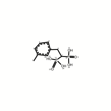 Cc1cccc(CC(P(=O)(O)O)P(=O)(O)O)c1